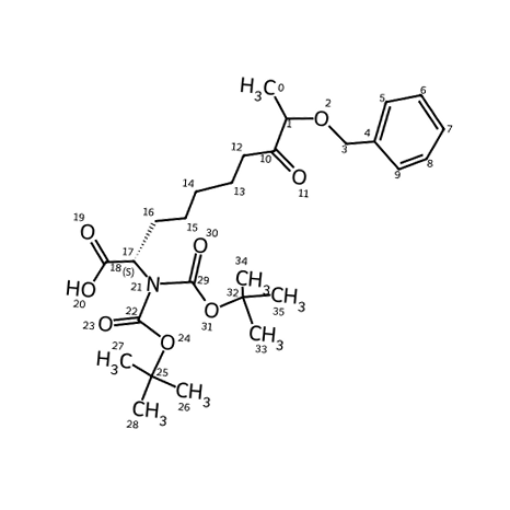 CC(OCc1ccccc1)C(=O)CCCCC[C@@H](C(=O)O)N(C(=O)OC(C)(C)C)C(=O)OC(C)(C)C